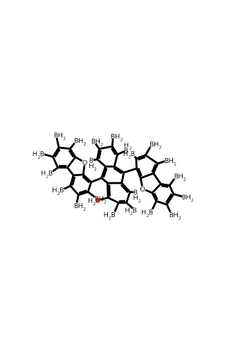 Bc1c(B)c(B)c2c(oc3c(-c4c5c(B)c(B)c(B)c(B)c5c(-c5c(B)c(B)c(B)c6c5oc5c(B)c(B)c(B)c(B)c56)c5c(B)c(B)c(B)c(B)c45)c(B)c(B)c(B)c32)c1B